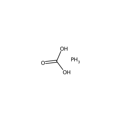 O=C(O)O.P